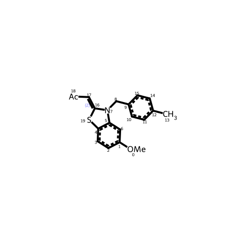 COc1ccc2c(c1)N(Cc1ccc(C)cc1)/C(=C/C(C)=O)S2